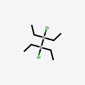 CC[Si](Br)(CC)[Si](Br)(CC)CC